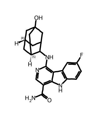 NC(=O)c1cnc(NC2C3C[C@@H]4C[C@H]2CC(O)(C3)C4)c2c1[nH]c1ccc(F)cc12